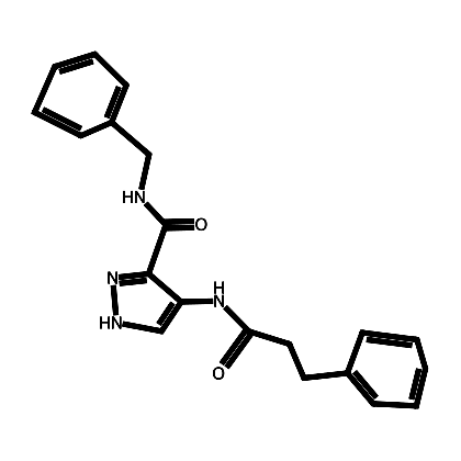 O=C(CCc1ccccc1)Nc1c[nH]nc1C(=O)NCc1ccccc1